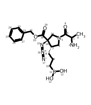 CC(N)C(=O)N1C[C@H](CCCB(O)O)[C@](N=[N+]=[N-])(C(=O)OCc2ccccc2)C1